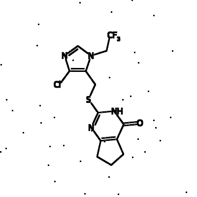 O=c1[nH]c(SCc2c(Cl)ncn2CC(F)(F)F)nc2c1CCC2